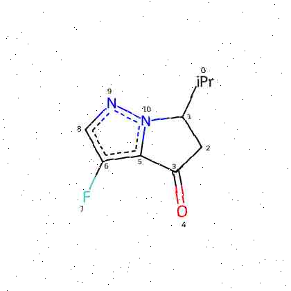 CC(C)C1CC(=O)c2c(F)cnn21